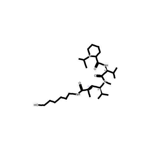 C/C(=C\[C@H](C(C)C)N(C)C(=O)[C@@H](NC(=O)C1CCCCN1C(C)C)C(C)C)C(=O)NCCCCCCO